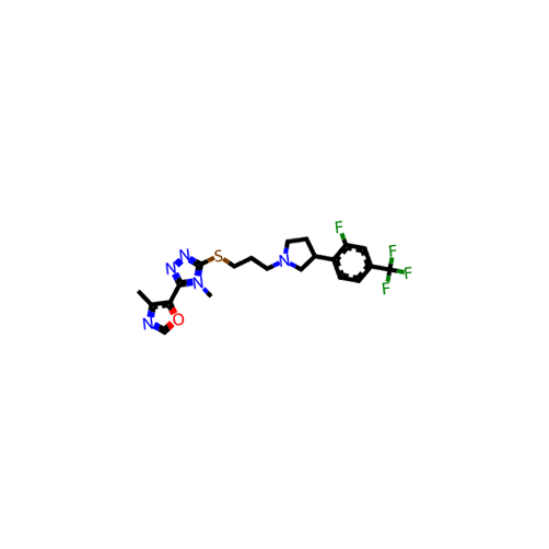 Cc1ncoc1-c1nnc(SCCCN2CCC(c3ccc(C(F)(F)F)cc3F)C2)n1C